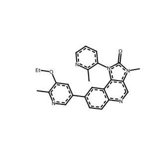 CCOc1cc(-c2ccc3ncc4c(c3c2)n(-c2cccnc2C)c(=O)n4C)cnc1C